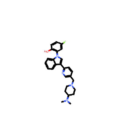 CN(C)C1CCN(Cc2ccc(-c3[c]n(-c4cc(F)ccc4O)c4ccccc34)nc2)CC1